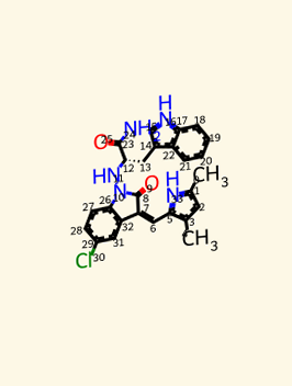 Cc1cc(C)c(/C=C2\C(=O)N(N[C@@H](Cc3c[nH]c4ccccc34)C(N)=O)c3ccc(Cl)cc32)[nH]1